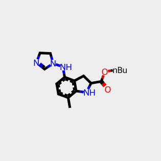 CCCCOC(=O)C1Cc2c(NN3C=NCC3)ccc(C)c2N1